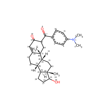 CN(C)c1ccc(C(=O)C2C[C@@]3(C)C(=CC2=O)CC[C@@H]2[C@H]3CC[C@]3(C)C(O)CC[C@@H]23)cc1